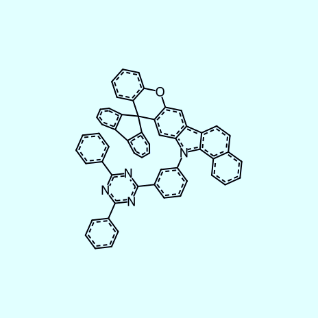 c1ccc(-c2nc(-c3ccccc3)nc(-c3cccc(-n4c5cc6c(cc5c5ccc7ccccc7c54)Oc4ccccc4C64c5ccccc5-c5ccccc54)c3)n2)cc1